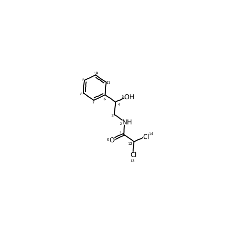 O=C(NCC(O)c1ccccc1)C(Cl)Cl